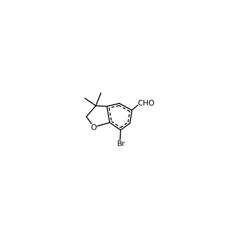 CC1(C)COc2c(Br)cc(C=O)cc21